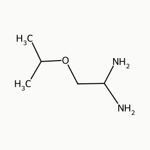 CC(C)OCC(N)N